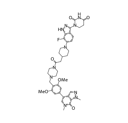 COc1cc(-c2cn(C)c(=O)c3c2cnn3C)cc(OC)c1CN1CCN(C(=O)CC2CCN(c3ccc4c(N5CCC(=O)NC5=O)n[nH]c4c3F)CC2)CC1